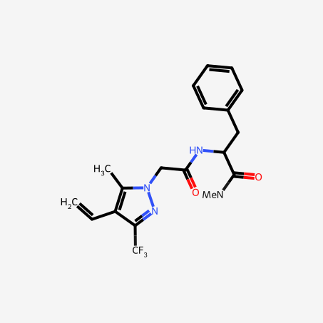 C=Cc1c(C(F)(F)F)nn(CC(=O)NC(Cc2ccccc2)C(=O)NC)c1C